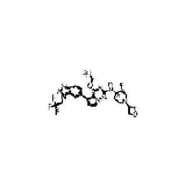 [2H]COc1nc(N[C@H]2CCN(C3COC3)C[C@@H]2F)nn2ccc(-c3ccc4nnn(CC(F)(F)F)c4c3)c12